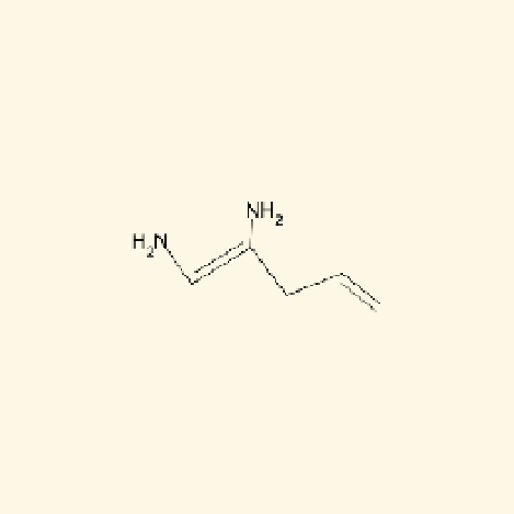 C=CC/C(N)=C/N